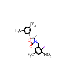 C[C@H]1[C@@H](c2cc(C(F)(F)F)cc(C(F)(F)F)c2)OC(=O)N1Cc1cc(C(F)(F)F)cc([N+](=O)[O-])c1I